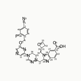 N#Cc1ccc(COc2cncc(N3C=NN(Cc4nc5ccc(C(=O)O)cc5n4C[C@@H]4CCO4)CC3)n2)c(F)c1